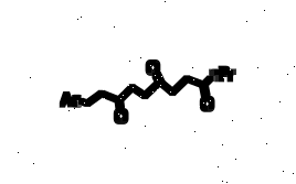 CCCC(=O)CCC(=O)CCC(=O)CCC(C)=O